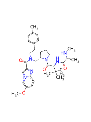 CN[C@@H](C)C(=O)N[C@H](C(=O)N1CCC[C@H]1CN(CCc1ccc(C)cc1)C(=O)c1cn2cc(OC)ccc2n1)C(C)(C)C